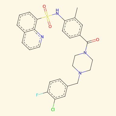 Cc1cc(C(=O)N2CCN(Cc3ccc(F)c(Cl)c3)CC2)ccc1NS(=O)(=O)c1cccc2cccnc12